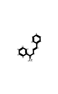 CCC(CC=Cc1ccccc1)c1ccccc1